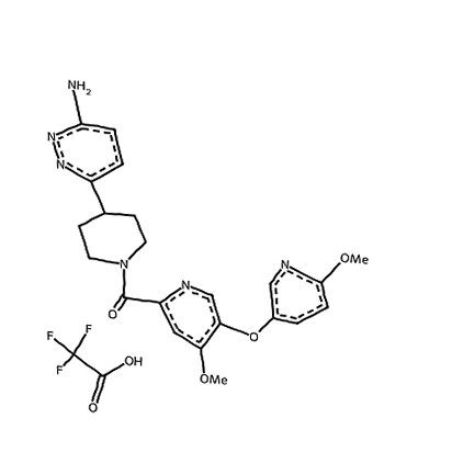 COc1ccc(Oc2cnc(C(=O)N3CCC(c4ccc(N)nn4)CC3)cc2OC)cn1.O=C(O)C(F)(F)F